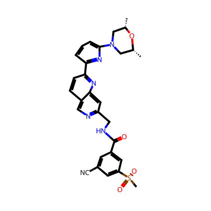 C[C@@H]1CN(c2cccc(-c3ccc4cnc(CNC(=O)c5cc(C#N)cc(S(C)(=O)=O)c5)cc4n3)n2)C[C@H](C)O1